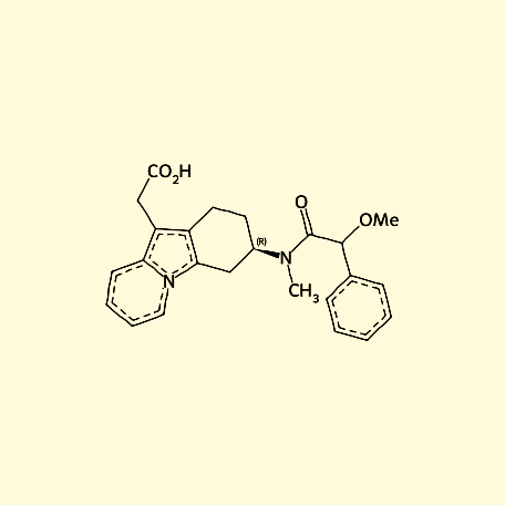 COC(C(=O)N(C)[C@@H]1CCc2c(CC(=O)O)c3ccccn3c2C1)c1ccccc1